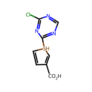 O=C(O)C1=C[SH](c2ncnc(Cl)n2)C=C1